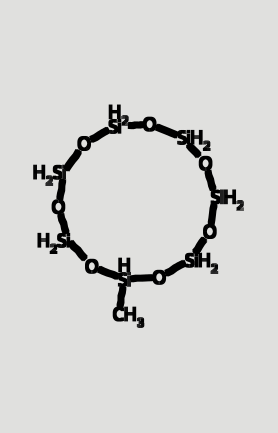 C[SiH]1O[SiH2]O[SiH2]O[SiH2]O[SiH2]O[SiH2]O[SiH2]O1